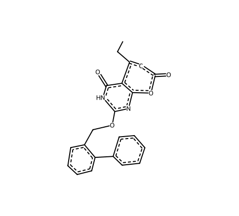 CCc1cc(=O)oc2nc(OCc3ccccc3-c3ccccc3)[nH]c(=O)c12